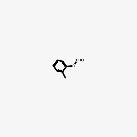 Cc1ccccc1OC=O